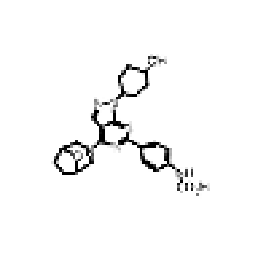 O=C(O)Nc1ccc(-c2nc(N3CC4CCC(C3)O4)c3cnn(C4CCC(O)CC4)c3n2)cc1